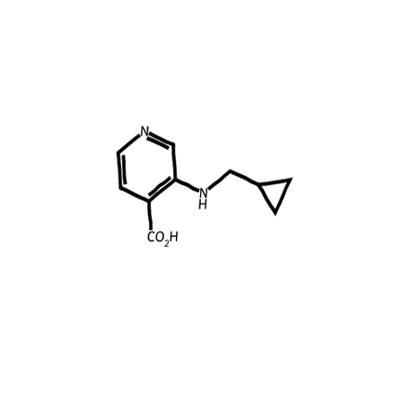 O=C(O)c1ccncc1NCC1CC1